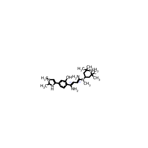 CC1NC(c2ccc(/C(N)=C/C=C(\N)N(C)C3CC(C)(C)NC(C)(C)C3)c(O)c2)=CN1C